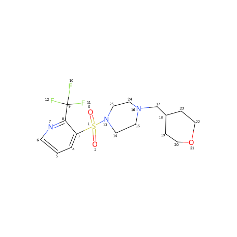 O=S(=O)(c1cccnc1C(F)(F)F)N1CCN(CC2CCOCC2)CC1